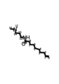 C=CCCCCCCCC(=O)NCCCN(C)C